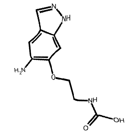 Nc1cc2cn[nH]c2cc1OCCNC(=O)O